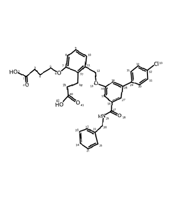 O=C(O)CCCOc1cccc(COc2cc(C(=O)NCc3ccccc3)cc(-c3ccc(Cl)cc3)c2)c1CCC(=O)O